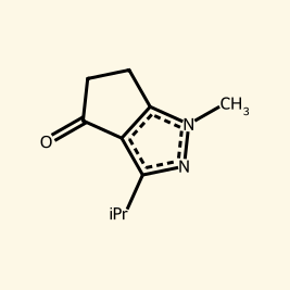 CC(C)c1nn(C)c2c1C(=O)CC2